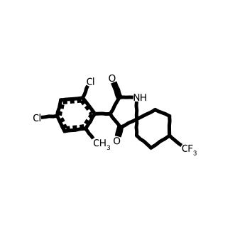 Cc1cc(Cl)cc(Cl)c1C1C(=O)NC2(CCC(C(F)(F)F)CC2)C1=O